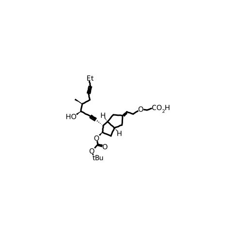 CCC#CC[C@H](C)[C@H](O)C#C[C@@H]1[C@H]2C/C(=C/COCC(=O)O)C[C@H]2C[C@H]1OC(=O)OC(C)(C)C